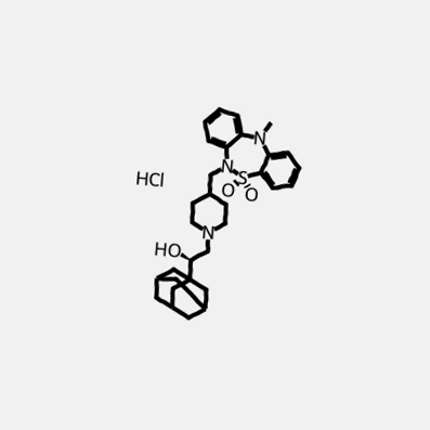 CN1c2ccccc2N(CC2CCN(C[C@H](O)C34CC5CC(CC(C5)C3)C4)CC2)S(=O)(=O)c2ccccc21.Cl